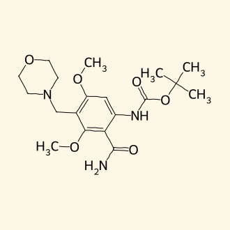 COc1cc(NC(=O)OC(C)(C)C)c(C(N)=O)c(OC)c1CN1CCOCC1